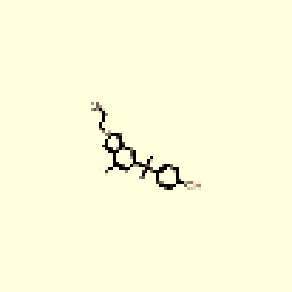 CC(C)(c1ccc(O)cc1)c1cc(Cl)c2nn(CCCl)cc2c1